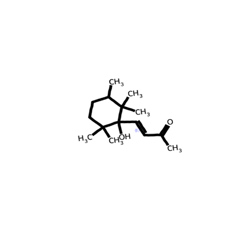 CC(=O)/C=C/C1(O)C(C)(C)CCC(C)C1(C)C